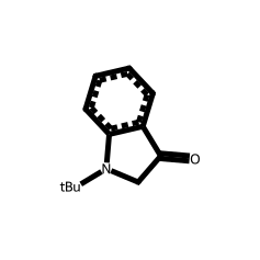 CC(C)(C)N1CC(=O)c2ccccc21